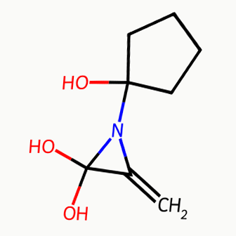 C=C1N(C2(O)CCCC2)C1(O)O